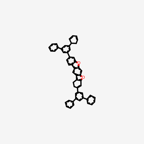 C1=CCC(c2cc(-c3ccccc3)cc(-c3ccc4c(c3)oc3cc5oc6c(c5cc34)CCC(c3cc(-c4ccccc4)cc(-c4ccccc4)c3)=C6)c2)C=C1